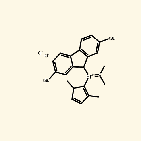 CC1=[C]([Hf+2]([CH]2c3cc(C(C)(C)C)ccc3-c3ccc(C(C)(C)C)cc32)=[Si](C)C)C(C)C=C1.[Cl-].[Cl-]